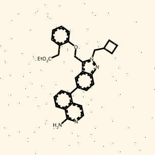 CCOC(=O)Cc1ccccc1OCc1c2cc(-c3cccc4c(N)nccc34)ccc2nn1CC1CCC1